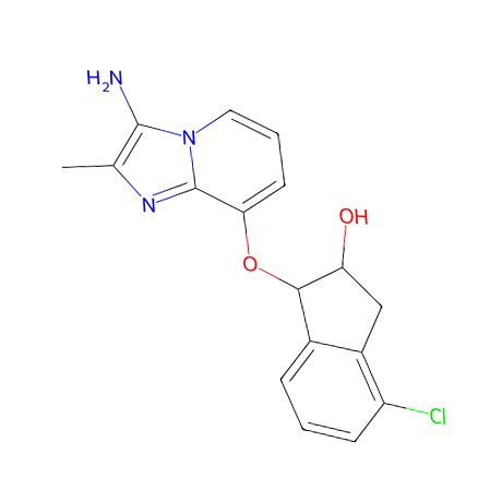 Cc1nc2c(OC3c4cccc(Cl)c4CC3O)cccn2c1N